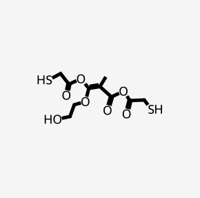 CC(C(=O)OC(=O)CS)=C(OCCO)OC(=O)CS